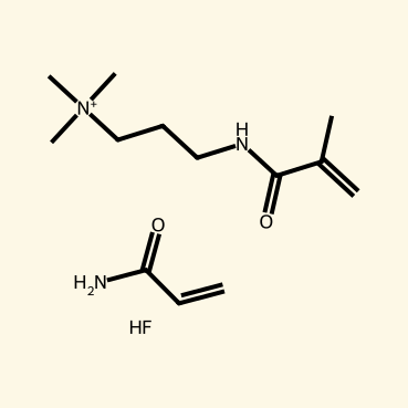 C=C(C)C(=O)NCCC[N+](C)(C)C.C=CC(N)=O.F